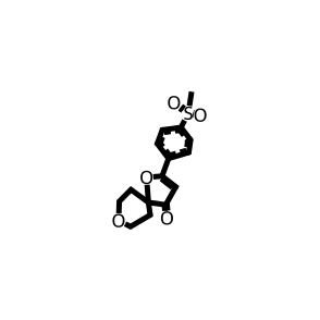 CS(=O)(=O)c1ccc(C2=CC(=O)C3(CCOCC3)O2)cc1